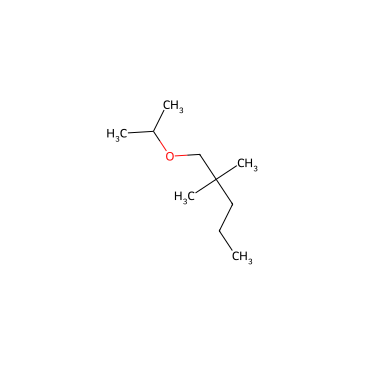 CCCC(C)(C)COC(C)C